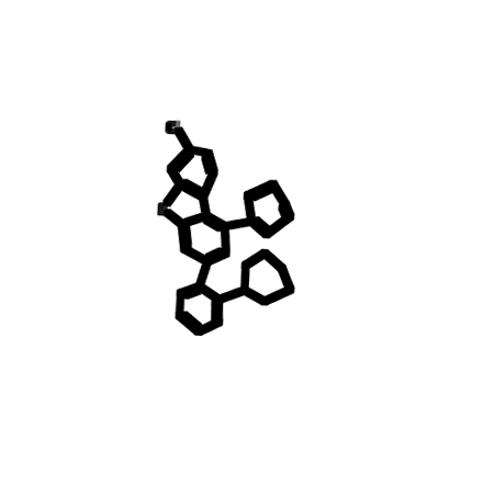 Clc1ccc2c(c1)sc1cc(-c3ccccc3C3CCCCC3)cc(-c3ccccc3)c12